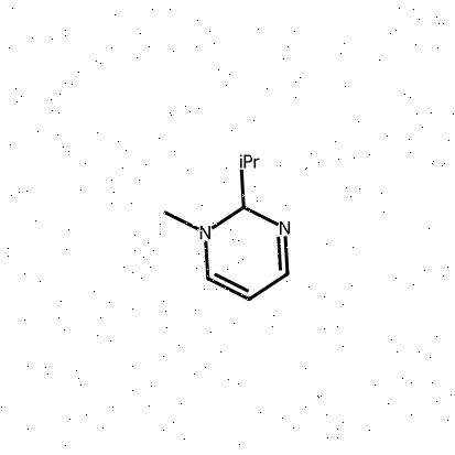 CC(C)C1N=CC=CN1C